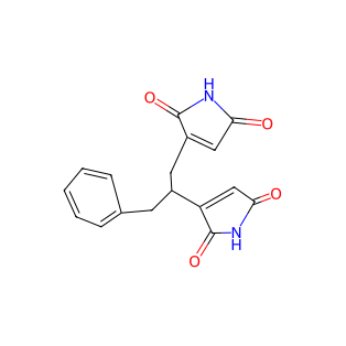 O=C1C=C(CC(Cc2ccccc2)C2=CC(=O)NC2=O)C(=O)N1